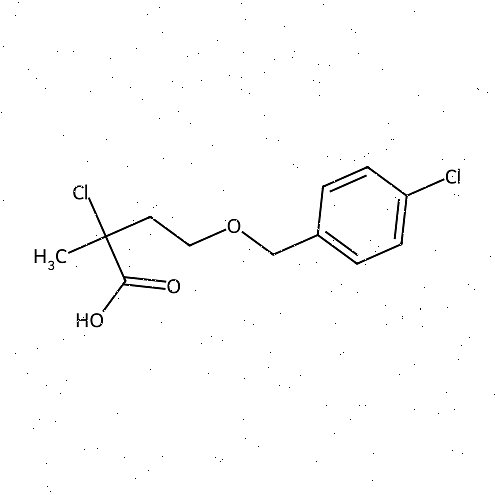 CC(Cl)(CCOCc1ccc(Cl)cc1)C(=O)O